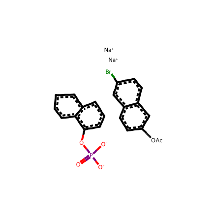 CC(=O)Oc1ccc2cc(Br)ccc2c1.O=P([O-])([O-])Oc1cccc2ccccc12.[Na+].[Na+]